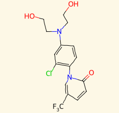 O=c1ccc(C(F)(F)F)cn1-c1ccc(N(CCO)CCO)cc1Cl